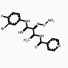 C=C(NC(=O)c1ccncc1)/C(=N\ON)C(=N)Nc1ccc(F)c(Br)c1